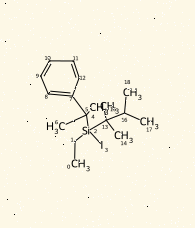 CC[Si](I)(C(C)(C)c1ccccc1)C(C)(C)C(C)C